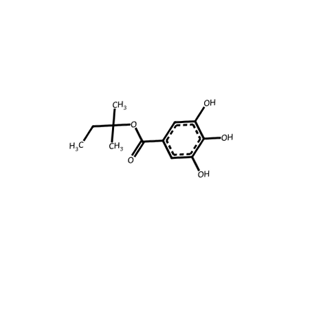 CCC(C)(C)OC(=O)c1cc(O)c(O)c(O)c1